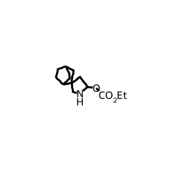 CCOC(=O)OC1CC2(CN1)CC1CCC2CC1